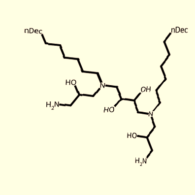 CCCCCCCCCCCCCCCCN(CC(O)CN)CC(O)C(O)CN(CCCCCCCCCCCCCCCC)CC(O)CN